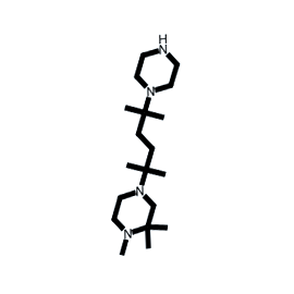 CN1CCN(C(C)(C)CCC(C)(C)N2CCNCC2)CC1(C)C